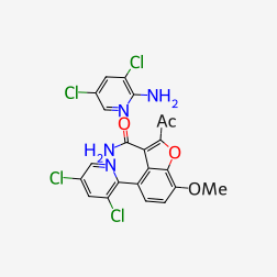 COc1ccc(-c2ncc(Cl)cc2Cl)c2c(C(N)=O)c(C(C)=O)oc12.Nc1ncc(Cl)cc1Cl